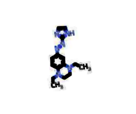 CCN1CCN(CC)c2cc(N=Nc3ncc[nH]3)ccc21